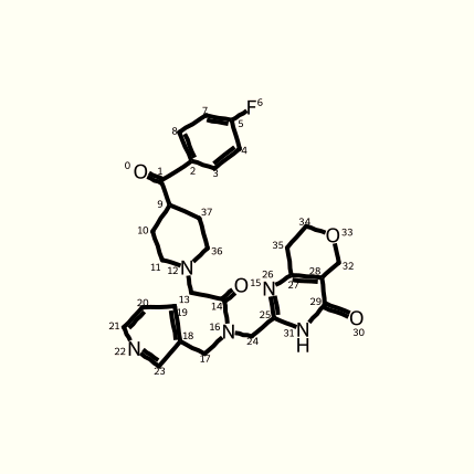 O=C(c1ccc(F)cc1)C1CCN(CC(=O)N(Cc2cccnc2)Cc2nc3c(c(=O)[nH]2)COCC3)CC1